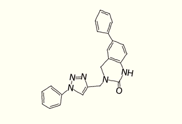 O=C1Nc2ccc(-c3ccccc3)cc2CN1Cc1cn(-c2ccccc2)nn1